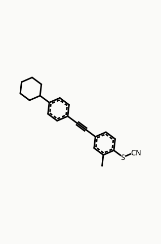 Cc1cc(C#Cc2ccc(C3CCCCC3)cc2)ccc1SC#N